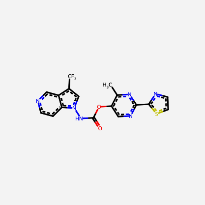 Cc1nc(-c2nccs2)ncc1OC(=O)Nn1cc(C(F)(F)F)c2cnccc21